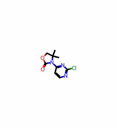 CC1(C)COC(=O)N1c1ccnc(Cl)n1